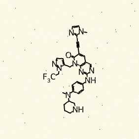 CN(c1ccc(Nc2ncc3cc(C#Cc4nccn4C)c(=O)n(Cc4ccnn4CC(F)(F)F)c3n2)cc1)C1CCCNC1